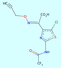 C#CCON=C(C(=O)O)c1nc(NC(=O)C(F)(F)F)sc1Cl